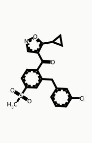 CS(=O)(=O)c1ccc(C(=O)c2cnoc2C2CC2)c(Cc2cccc(Cl)c2)c1